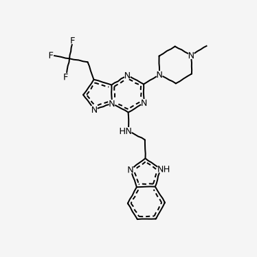 CN1CCN(c2nc(NCc3nc4ccccc4[nH]3)n3ncc(CC(F)(F)F)c3n2)CC1